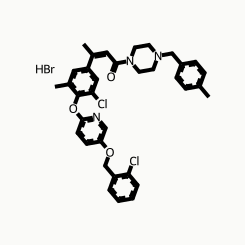 Br.CC(=CC(=O)N1CCN(Cc2ccc(C)cc2)CC1)c1cc(C)c(Oc2ccc(OCc3ccccc3Cl)cn2)c(Cl)c1